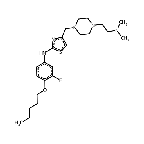 CCCCCOc1ccc(Nc2nc(CN3CCN(CCN(C)C)CC3)cs2)cc1F